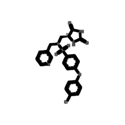 O=C1NC(=O)[C@H](CN(Cc2cccnc2)S(=O)(=O)c2ccc(Oc3ccc(Cl)cc3)cc2)N1